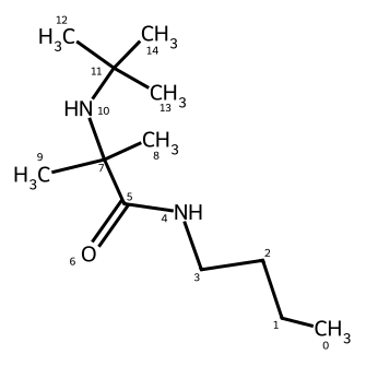 CCCCNC(=O)C(C)(C)NC(C)(C)C